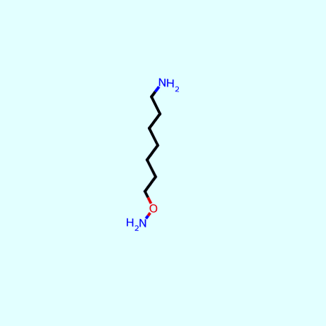 NCCCCCCCON